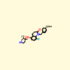 COc1ccc(CN2C(=O)CCc3c(OCC4(O)CCNCC4C#N)ccc(F)c32)cc1